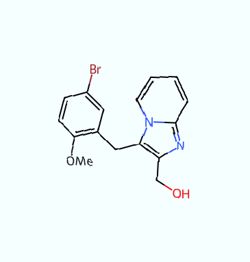 COc1ccc(Br)cc1Cc1c(CO)nc2ccccn12